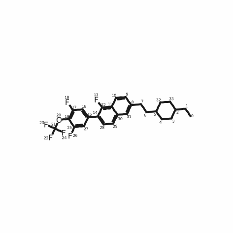 CCC1CCC(CCc2ccc3c(F)c(-c4cc(F)c(OC(F)(F)F)c(F)c4)ccc3c2)CC1